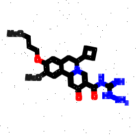 COCCCOc1cc2c(cc1OC)-c1cc(=O)c(C(=O)NC(=N)NN)cn1C(C1CCC1)C2